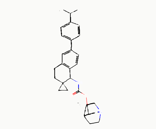 CC(C)c1ccc(-c2ccc3c(c2)CCC2(CC2)C3NC(=O)O[C@H]2CN3CCC2CC3)cc1